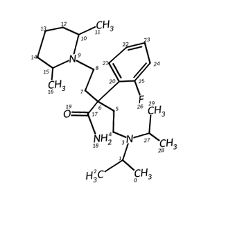 CC(C)N(CCC(CCN1C(C)CCCC1C)(C(N)=O)c1ccccc1F)C(C)C